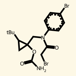 CC(C)(C)C1CC1(CN(C(=O)CBr)c1ccc(Br)cc1)OC(N)=O